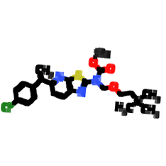 C=C(c1ccc(Cl)cc1)c1ccc2nc(N(COCC[Si](C)(C)C)C(=O)OC(C)(C)C)sc2n1